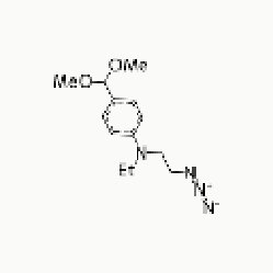 CCN(CCN=[N+]=[N-])c1ccc(C(OC)OC)cc1